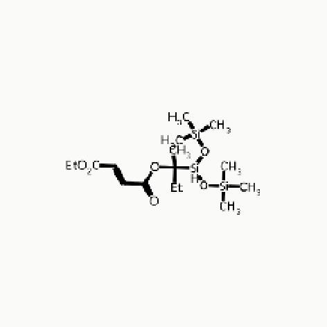 CCOC(=O)C=CC(=O)OC(C)(CC)[SiH](O[Si](C)(C)C)O[Si](C)(C)C